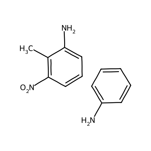 Cc1c(N)cccc1[N+](=O)[O-].Nc1ccccc1